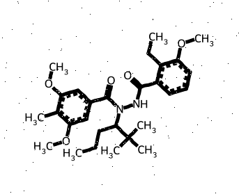 CCCC(N(NC(=O)c1cccc(OC)c1CC)C(=O)c1cc(OC)c(C)c(OC)c1)C(C)(C)C